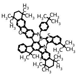 CC(C)(C)c1ccc(N2B3c4sc5ccc(C(C)(C)C)cc5c4-n4c5cc6c(cc5c5c7c(c(c3c54)-c3cc4oc5cc8c(cc5c4cc32)C(C)(C)CCC8(C)C)-c2ccccc2C7(C)C)C(C)(C)CCC6(C)C)cc1